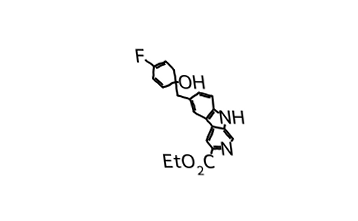 CCOC(=O)c1cc2c(cn1)[nH]c1ccc(CC3(O)C=CC(F)=CC3)cc12